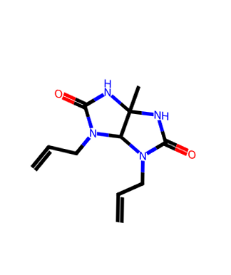 C=CCN1C(=O)NC2(C)NC(=O)N(CC=C)C12